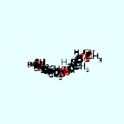 CC(C)(Br)C(=O)Oc1ccc(C(C)(C)c2ccc(OC(=O)Oc3ccc(C(C)(C)c4ccc(OC(=O)C(C)(C)Br)cc4)cc3)cc2)cc1